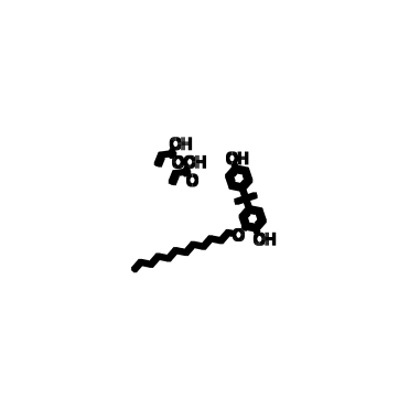 C=CC(=O)O.C=CC(=O)O.CCCCCCCCCCCCOc1cc(C(C)(C)c2ccc(O)cc2)ccc1O